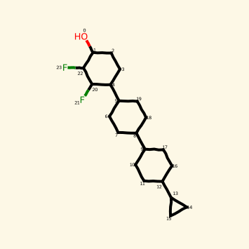 OC1CCC(C2CCC(C3CCC(C4CC4)CC3)CC2)C(F)C1F